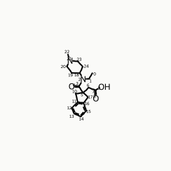 CCN(C(=O)C1(CC(=O)O)Cc2ccccc2C1)C1CCN(C)CC1